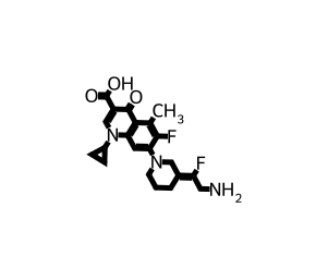 Cc1c(F)c(N2CCCC(=C(F)CN)C2)cc2c1c(=O)c(C(=O)O)cn2C1CC1